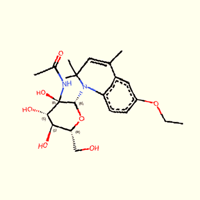 CCOc1ccc2c(c1)C(C)=CC(C)(C)N2[C@@H]1O[C@H](CO)[C@@H](O)[C@H](O)[C@]1(O)NC(C)=O